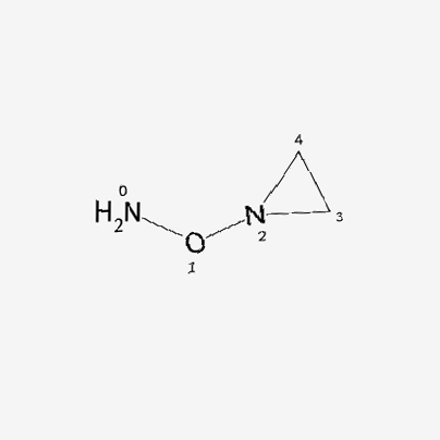 NON1CC1